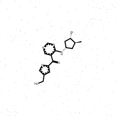 CC[C@H]1C[C@@H](Nc2ncncc2C(=O)c2cc(CO)co2)C[C@@H]1C